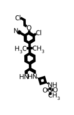 CC(C)(c1ccc(/C(C=N)=C/N[C@H]2C[C@H](NS(C)(=O)=O)C2)cc1)c1cc(Cl)c(OCCCl)c(C#N)c1